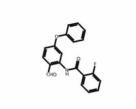 O=Cc1ccc(Oc2ccccc2)cc1NC(=O)c1ccccc1F